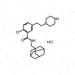 Cl.O=C(NCC12CC3CC(CC(C3)C1)C2)c1cc(CCN2CCNCC2)ccc1Cl